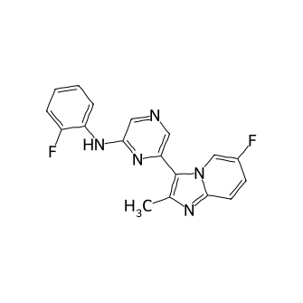 Cc1nc2ccc(F)cn2c1-c1cncc(Nc2ccccc2F)n1